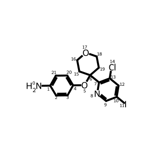 Nc1ccc(OC2(c3ncc(I)cc3Cl)CCOCC2)cc1